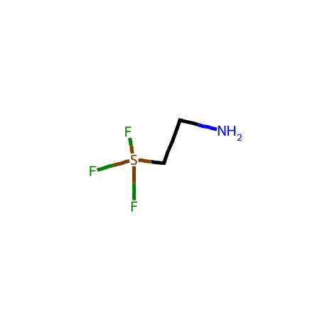 NCCS(F)(F)F